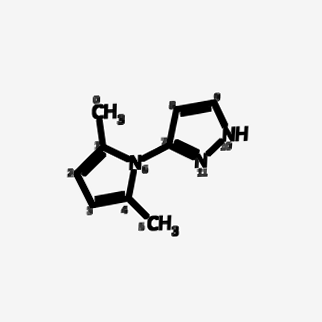 Cc1ccc(C)n1-c1cc[nH]n1